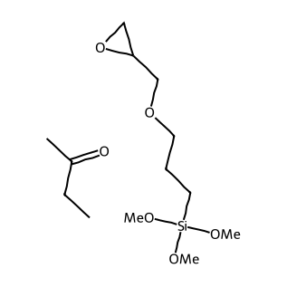 CCC(C)=O.CO[Si](CCCOCC1CO1)(OC)OC